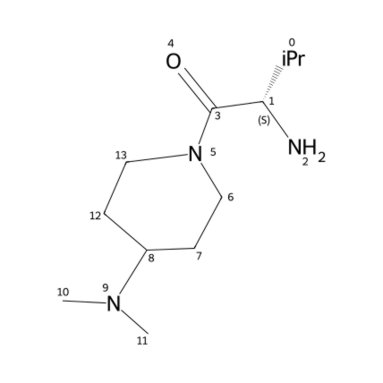 CC(C)[C@H](N)C(=O)N1CCC(N(C)C)CC1